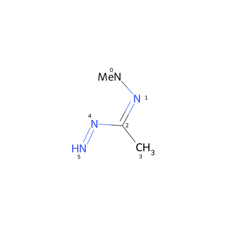 CNN=C(C)N=N